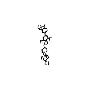 CCc1cnc(N2CCC(COc3c(F)cc(-c4cccc(CO)c4)cc3F)CC2)nc1